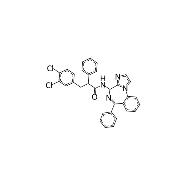 O=C(NC1N=C(c2ccccc2)c2ccccc2-n2ccnc21)C(Cc1ccc(Cl)c(Cl)c1)c1ccccc1